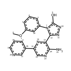 COc1cccc(-n2c(O)nnc2-c2nc(-c3cccnc3)cnc2N)c1